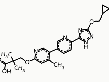 Cc1cc(OCC(C)(C)C(=O)O)ncc1-c1ccc(-c2nc(OCC3CC3)n[nH]2)nc1